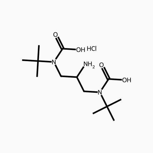 CC(C)(C)N(CC(N)CN(C(=O)O)C(C)(C)C)C(=O)O.Cl